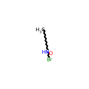 CCCCCCCCCCCCNC(=O)CCBr